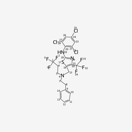 FC(F)(F)CCN(CCc1ccccc1)Cc1sc(Nc2c(Cl)cc(Cl)cc2Cl)nc1C(F)(F)F